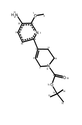 COc1nc(C2=CCN(C(=O)OC(C)(C)C)CC2)ccc1N